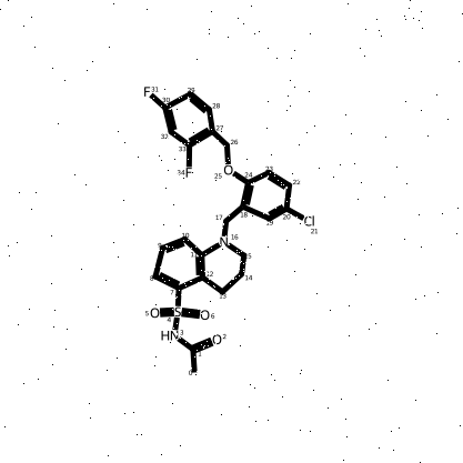 CC(=O)NS(=O)(=O)c1cccc2c1CCCN2Cc1cc(Cl)ccc1OCc1ccc(F)cc1F